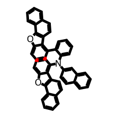 c1ccc(N(c2ccc3ccccc3c2)c2cccc3oc4c5ccccc5ccc4c23)c(-c2cccc3oc4c5ccccc5ccc4c23)c1